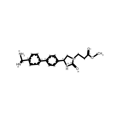 COC(=O)CCN1CC(c2ccc(-c3ccc(C(=N)N)cc3)cc2)NC1=O